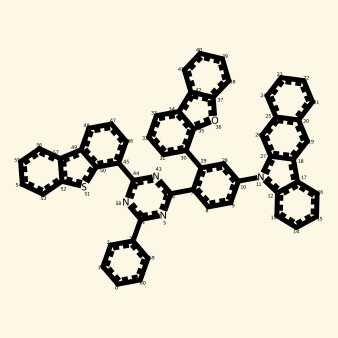 c1ccc(-c2nc(-c3ccc(-n4c5ccccc5c5cc6ccccc6cc54)cc3-c3cccc4c3oc3ccccc34)nc(-c3cccc4c3sc3ccccc34)n2)cc1